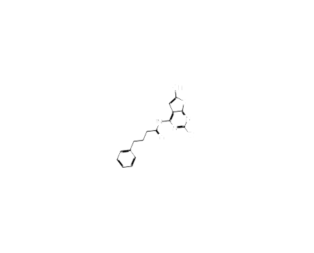 CCc1nc(NC(=O)CCCc2ccccc2)c2cc(C)sc2n1